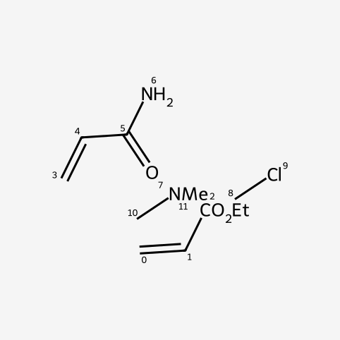 C=CC(=O)OCC.C=CC(N)=O.CCl.CNC